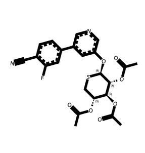 CC(=O)O[C@@H]1[C@@H](OC(C)=O)[C@H](OC(C)=O)CS[C@H]1Oc1cncc(-c2ccc(C#N)c(F)c2)c1